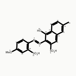 COc1ccc(/N=N/c2c(S(=O)(=O)O)cc3cc(C)ccc3c2O)c(S(=O)(=O)O)c1